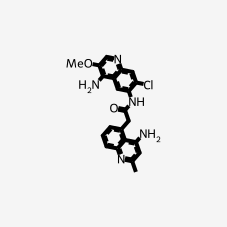 COc1cnc2cc(Cl)c(NC(=O)Cc3cccc4nc(C)cc(N)c34)cc2c1N